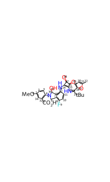 COc1ccc(N2Cc3c(F)ccc(Nc4c(N[C@@H](c5ccc(C)o5)C(C)(C)C)c(=O)c4=O)c3C2O)c(C(=O)O)c1